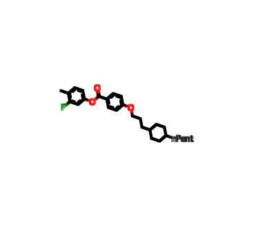 CCCCCC1CCC(CCCOc2ccc(C(=O)Oc3ccc(C)c(F)c3)cc2)CC1